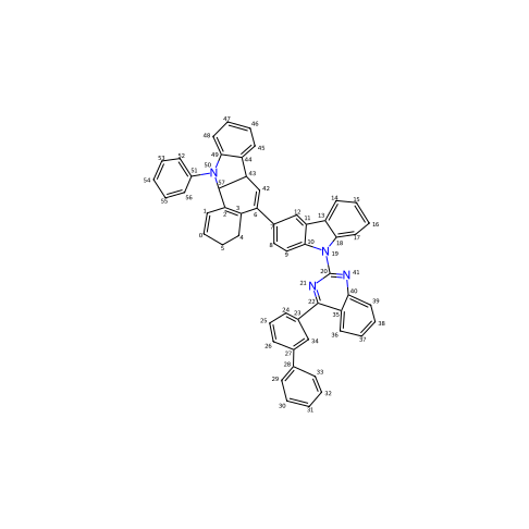 C1=CC2=C(CC1)C(c1ccc3c(c1)c1ccccc1n3-c1nc(-c3cccc(-c4ccccc4)c3)c3ccccc3n1)=CC1c3ccccc3N(c3ccccc3)C21